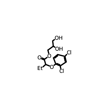 CCC(Oc1ccc(Cl)cc1Cl)C(=O)OCC(O)CO